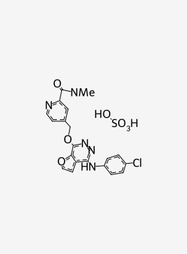 CNC(=O)c1cc(COc2nnc(Nc3ccc(Cl)cc3)c3ccoc23)ccn1.O=S(=O)(O)O